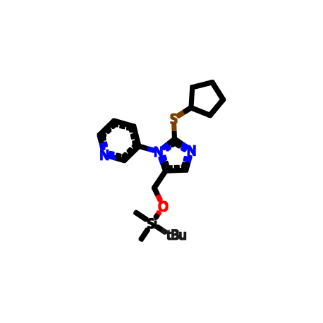 CC(C)(C)[Si](C)(C)OCc1cnc(SC2CCCC2)n1-c1cccnc1